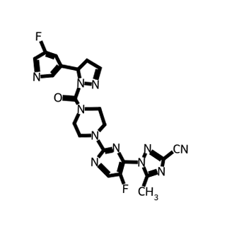 Cc1nc(C#N)nn1-c1nc(N2CCN(C(=O)N3N=CCC3c3cncc(F)c3)CC2)ncc1F